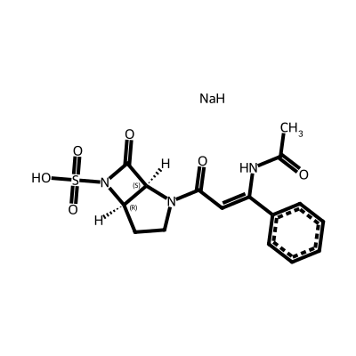 CC(=O)NC(=CC(=O)N1CC[C@@H]2[C@H]1C(=O)N2S(=O)(=O)O)c1ccccc1.[NaH]